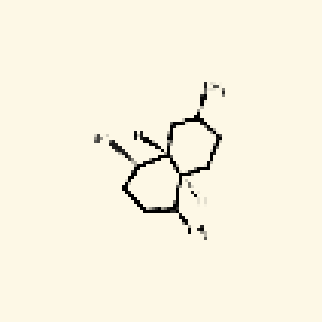 CC(C)[C@@H]1CC[C@H](C)[C@@H]2CC[C@H](C)C[C@H]21